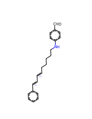 O=Cc1ccc(NCCCCC/C=C/C=C/c2ccccc2)cc1